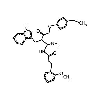 CCc1ccc(OCC(=O)C(Cc2c[nH]c3ccccc23)C(N)NC(=O)CCc2ccccc2OC)cc1